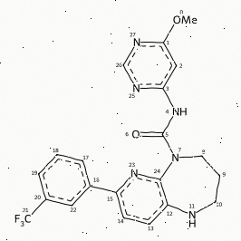 COc1cc(NC(=O)N2CCCNc3ccc(-c4cccc(C(F)(F)F)c4)nc32)ncn1